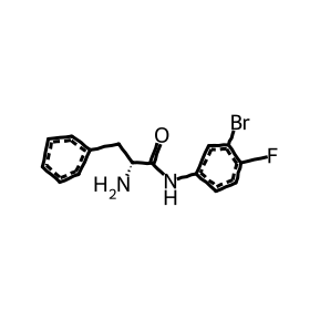 N[C@H](Cc1ccccc1)C(=O)Nc1ccc(F)c(Br)c1